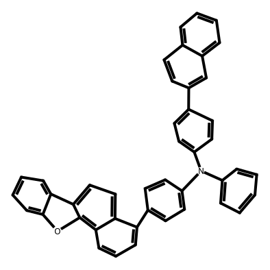 c1ccc(N(c2ccc(-c3ccc4ccccc4c3)cc2)c2ccc(-c3cccc4c3ccc3c5ccccc5oc43)cc2)cc1